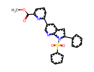 COC(=O)c1cccc(-c2cnc3c(c2)cc(-c2ccccc2)n3S(=O)(=O)c2ccccc2)n1